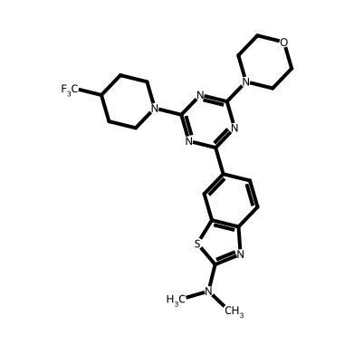 CN(C)c1nc2ccc(-c3nc(N4CCOCC4)nc(N4CCC(C(F)(F)F)CC4)n3)cc2s1